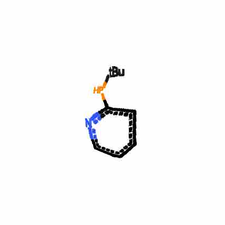 CC(C)(C)Pc1ccccn1